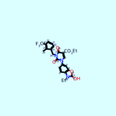 CCOC(=O)c1cn(-c2ccc3c(c2)OC(O)N3CC)c(=O)n(Cc2cccc(C(F)(F)F)c2C)c1=O